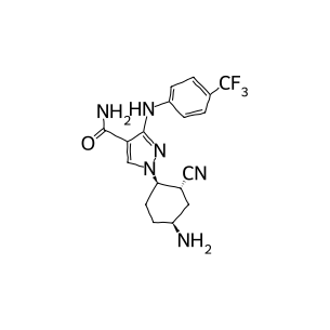 N#C[C@@H]1C[C@@H](N)CC[C@H]1n1cc(C(N)=O)c(Nc2ccc(C(F)(F)F)cc2)n1